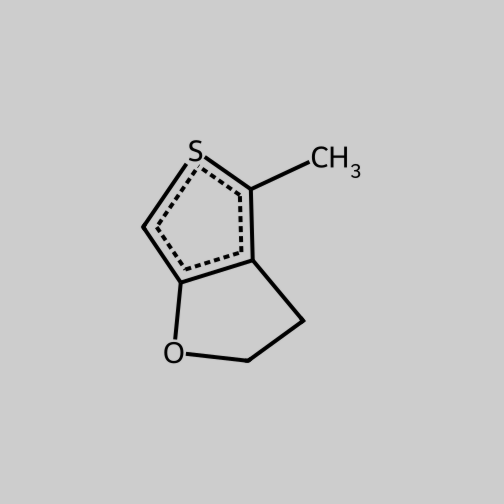 Cc1scc2c1CCO2